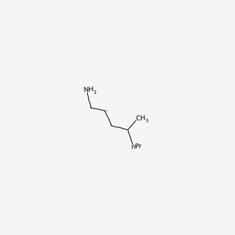 CCCC(C)C[CH]CN